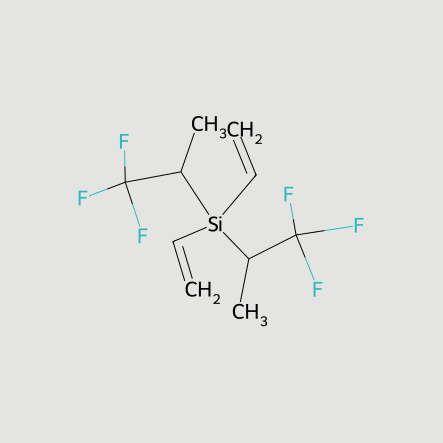 C=C[Si](C=C)(C(C)C(F)(F)F)C(C)C(F)(F)F